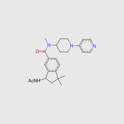 CC(=O)NC1CC(C)(C)c2ccc(C(=O)N(C)C3CCN(c4ccncc4)CC3)cc21